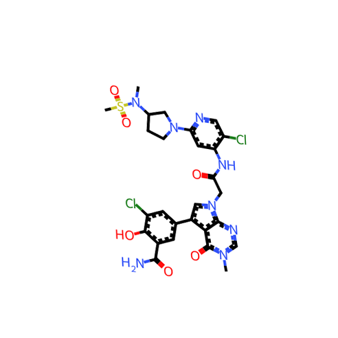 CN(C1CCN(c2cc(NC(=O)Cn3cc(-c4cc(Cl)c(O)c(C(N)=O)c4)c4c(=O)n(C)cnc43)c(Cl)cn2)C1)S(C)(=O)=O